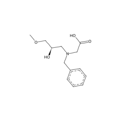 COC[C@H](O)CN(CC(=O)O)Cc1ccccc1